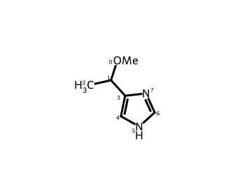 COC(C)c1c[nH]cn1